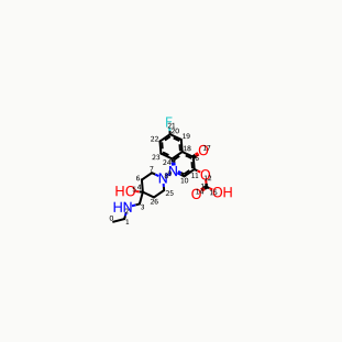 CCNCC1(O)CCN(n2cc(OC(=O)O)c(=O)c3cc(F)ccc32)CC1